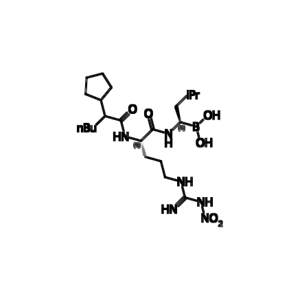 CCCCC(C(=O)N[C@@H](CCCNC(=N)N[N+](=O)[O-])C(=O)N[C@@H](CC(C)C)B(O)O)C1CCCC1